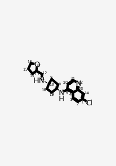 Clc1ccc2c(N[C@H]3CC[C@@H](NCC4CCCO4)CC3)ccnc2c1